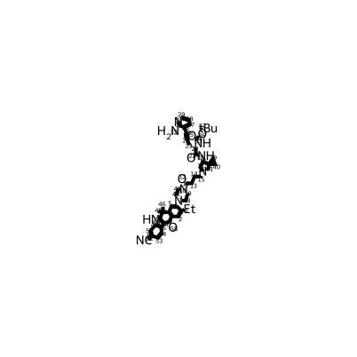 CCc1cc2c(cc1N1CCN(C(=O)CCCN3C[C@H](NC(=O)[C@H](CC#Cc4cccnc4N)NC(=O)OC(C)(C)C)C4(CC4)C3)CC1)C(C)(C)c1[nH]c3cc(C#N)ccc3c1C2=O